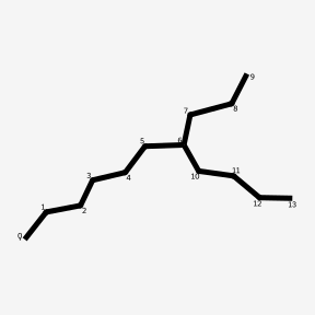 [CH2]CCCCCC(CCC)CCCC